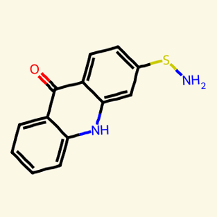 NSc1ccc2c(=O)c3ccccc3[nH]c2c1